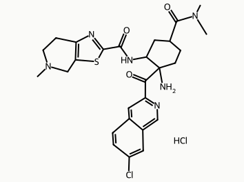 CN1CCc2nc(C(=O)NC3CC(C(=O)N(C)C)CCC3(N)C(=O)c3cc4ccc(Cl)cc4cn3)sc2C1.Cl